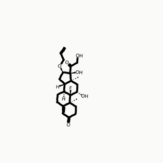 C=CCO[C@@H]1C[C@H]2[C@@H]3CCC4=CC(=O)CC[C@]4(C)[C@@]3(F)[C@@H](O)C[C@]2(C)[C@@]1(O)C(=O)CO